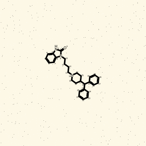 O=c1[nH]c2ccccc2n1CCCCN1CCC(C(c2ccccc2)c2ccccc2)CC1